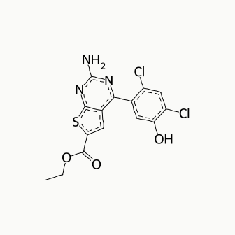 CCOC(=O)c1cc2c(-c3cc(O)c(Cl)cc3Cl)nc(N)nc2s1